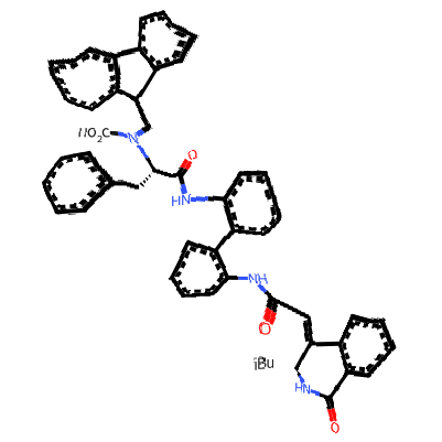 CC[C@H](C)[C@@H]1NC(=O)c2ccccc2/C1=C/C(=O)Nc1ccccc1-c1ccccc1NC(=O)[C@H](Cc1ccccc1)N(CC1c2ccccc2-c2ccccc21)C(=O)O